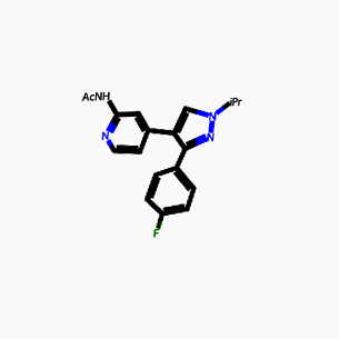 CC(=O)Nc1cc(-c2cn(C(C)C)nc2-c2ccc(F)cc2)ccn1